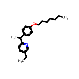 CCCCCCCOc1ccc(C(C)c2ccc(CC)cn2)cc1